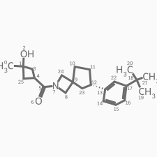 CC1(O)CC(C(=O)N2CC3(CC[C@H](c4cccc(C(C)(C)C)c4)C3)C2)C1